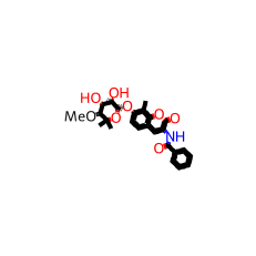 COC1C(O)[C@H](O)[C@H](Oc2ccc3cc(NC(=O)c4ccccc4)c(=O)oc3c2C)OC1(C)C